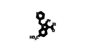 CCC(=O)c1c(C(C)C)n(Cc2cccnc2)c2cc(C(=O)O)ccc12